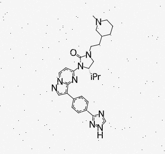 CC(C)[C@H]1CN(CCC2CCCN(C)C2)C(=O)N1c1ccn2ncc(-c3ccc(-c4nc[nH]n4)cc3)c2n1